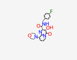 O=C(NCc1ccc(F)cc1)c1nc2c(N3CCOCC3)cccn2c(=O)c1O